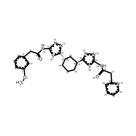 COc1cccc(CC(=O)Nc2nnc([C@H]3CCC[C@H](c4nnc(NC(=O)Cc5ccccn5)s4)C3)s2)c1